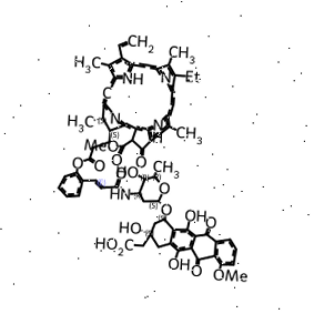 C=Cc1c(C)c2cc3nc(c4c5[nH]c(cc6nc(cc1[nH]2)C(C)=C6CC)c(C)c5C(=O)C4C(=O)OC)[C@@H](CCC(=O)Oc1ccccc1/C=C/C(=O)N[C@@H]1C[C@@H](O[C@H]2C[C@](O)(CC(=O)O)Cc4c(O)c5c(c(O)c42)C(=O)c2cccc(OC)c2C5=O)O[C@H](C)[C@@H]1O)[C@@H]3C